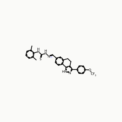 Cc1cccc(C)c1NC(=S)N/N=C/c1ccc2c(c1)CCc1c(-c3ccc(OC(F)(F)F)cc3)n[nH]c1-2